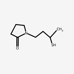 CC(S)CCN1CCCC1=O